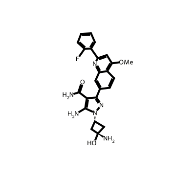 COc1cc(-c2ccccc2F)nc2cc(-c3nn([C@H]4C[C@@](N)(O)C4)c(N)c3C(N)=O)ccc12